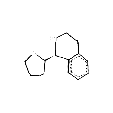 c1ccc2c(c1)CCN[C@@H]2C1CCCO1